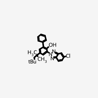 CC(C)(C)CC(C)(C)c1cc(-c2ccccc2)c(O)c(-n2nc3ccc(Cl)cc3n2)c1